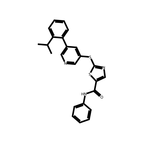 CC(C)c1ccccc1-c1cncc(Sc2ncc(C(=O)Nc3ccccc3)s2)c1